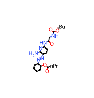 CCCC(=O)Oc1ccccc1/N=N/c1ccc(NC(=O)CNC(=O)OC(C)(C)C)nc1N